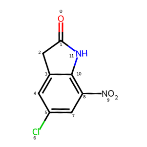 O=C1Cc2cc(Cl)cc([N+](=O)[O-])c2N1